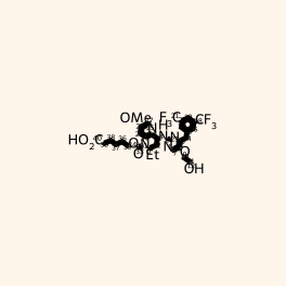 CC[C@@H]1C[C@H](Nc2ncc(OCCO)c(Cc3cc(C(F)(F)F)cc(C(F)(F)F)c3)n2)c2nc(OC)ccc2N1C(=O)OCCCCCC(=O)O